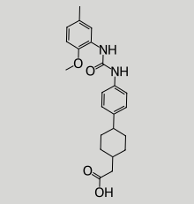 COc1ccc(C)cc1NC(=O)Nc1ccc(C2CCC(CC(=O)O)CC2)cc1